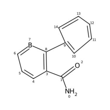 NC(=O)c1cccbc1-c1ccccc1